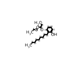 C=CC(=O)OOCC.CCCCCCCCCc1ccccc1O